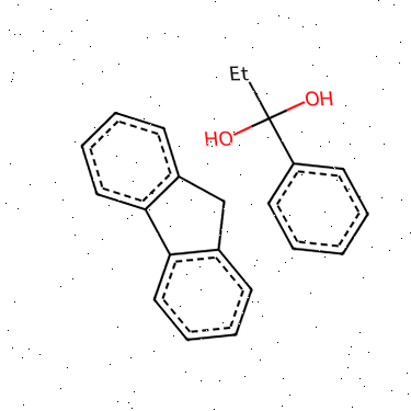 CCC(O)(O)c1ccccc1.c1ccc2c(c1)Cc1ccccc1-2